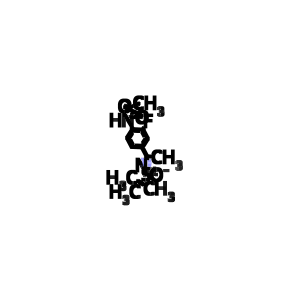 C/C(=N\[S@+]([O-])C(C)(C)C)c1ccc(NS(C)(=O)=O)c(F)c1